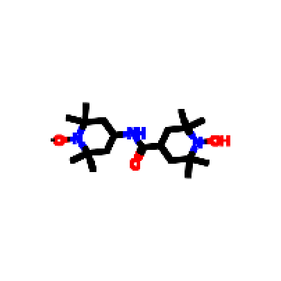 CC1(C)CC(NC(=O)C2CC(C)(C)N(O)C(C)(C)C2)CC(C)(C)N1[O]